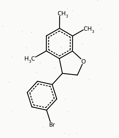 Cc1cc(C)c2c(c1C)OCC2c1cccc(Br)c1